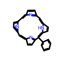 [c]1c2nc(c(-c3ccccc3)c3ccc(cc4nc(cc5ccc1[nH]5)C=C4)[nH]3)C=C2